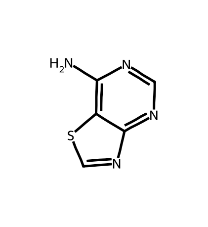 Nc1ncnc2ncsc12